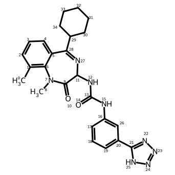 Cc1cccc2c1N(C)C(=O)C(NC(=O)Nc1cccc(-c3nnn[nH]3)c1)N=C2C1CCCCC1